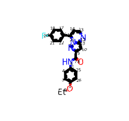 CCOc1ccc(NC(=O)c2cc3nccc(-c4ccc(F)cc4)n3n2)cc1